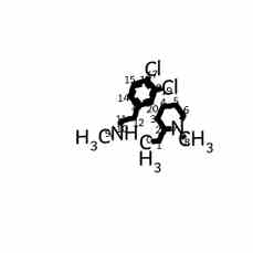 CCC1CCCCN1C.CNCCc1ccc(Cl)c(Cl)c1